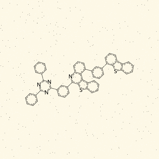 c1ccc(-c2nc(-c3ccccc3)nc(-c3cccc(-c4nc5cccc(-c6cccc(-c7cccc8c7sc7ccccc78)c6)c5c5c4sc4ccccc45)c3)n2)cc1